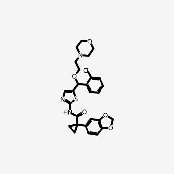 O=C(Nc1ncc(C(OCCN2CCOCC2)c2ccccc2Cl)s1)C1(c2ccc3c(c2)OCO3)CC1